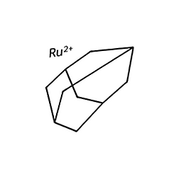 C1C2CC3CC1CC(C2)C3.[Ru+2]